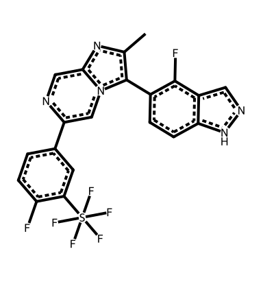 Cc1nc2cnc(-c3ccc(F)c(S(F)(F)(F)(F)F)c3)cn2c1-c1ccc2[nH]ncc2c1F